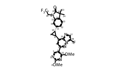 COc1ncc(-c2cc(C3C[C@@H]3c3ccc4c(c3)N(CC(F)(F)F)C(=O)C4(C)C)c3ncc(F)n3n2)c(OC)n1